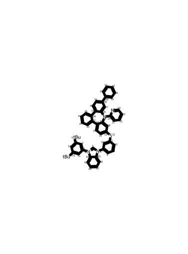 CC(C)(C)c1cc(-[n+]2cn(-c3cccc(Sc4ccc5c(c4)N(c4ccccn4)c4cc(-c6ccccc6)ccc4-c4ccccc4-5)c3)c3ccccc32)cc(C(C)(C)C)c1